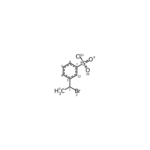 CC(Br)c1cccc(S(=O)(=O)Cl)c1